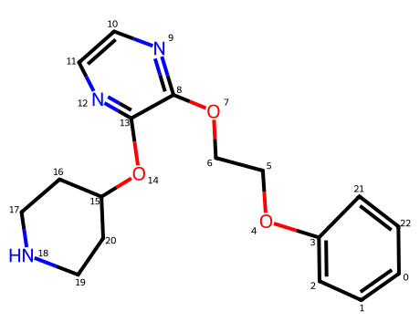 c1ccc(OCCOc2nccnc2OC2CCNCC2)cc1